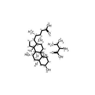 CC(C)C(N)C(=O)O.C[C@H](CCC(=O)O)[C@H]1CC[C@H]2[C@@H]3[C@@H](O)C[C@@H]4C[C@H](O)CC[C@]4(C)[C@H]3CC[C@]12C